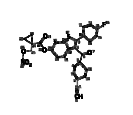 C#Cc1ccc(C(=O)c2c(-c3ccc(F)cc3)sc3cc(OC(=O)C4(CO[N+](=O)[O-])CC4)ccc23)cc1